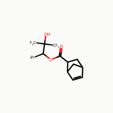 CC(C)C(OC(=O)C1CC2C=CC1C2)C(O)(C(F)(F)F)C(F)(F)F